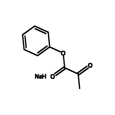 CC(=O)C(=O)Oc1ccccc1.[NaH]